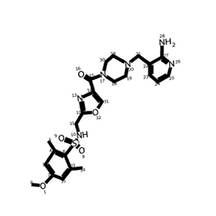 COc1cc(C)c(S(=O)(=O)NCc2nc(C(=O)N3CCN(Cc4cccnc4N)CC3)co2)c(C)c1